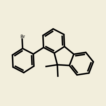 CC1(C)c2ccccc2-c2cccc(-c3ccccc3Br)c21